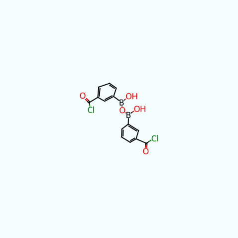 O=C(Cl)c1cccc(B(O)OB(O)c2cccc(C(=O)Cl)c2)c1